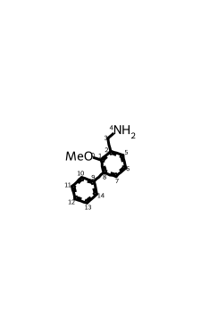 COc1c(CN)cccc1-c1ccccc1